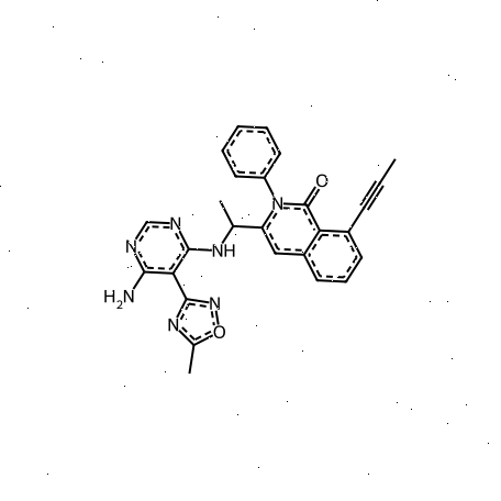 CC#Cc1cccc2cc(C(C)Nc3ncnc(N)c3-c3noc(C)n3)n(-c3ccccc3)c(=O)c12